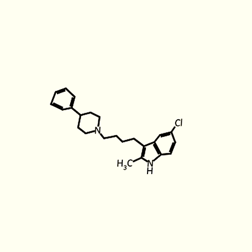 Cc1[nH]c2ccc(Cl)cc2c1CCCCN1CCC(c2ccccc2)CC1